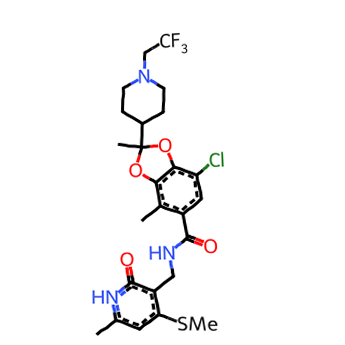 CSc1cc(C)[nH]c(=O)c1CNC(=O)c1cc(Cl)c2c(c1C)OC(C)(C1CCN(CC(F)(F)F)CC1)O2